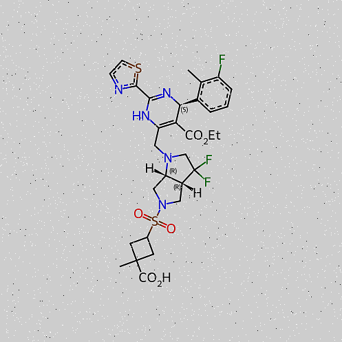 CCOC(=O)C1=C(CN2CC(F)(F)[C@@H]3CN(S(=O)(=O)C4CC(C)(C(=O)O)C4)C[C@@H]32)NC(c2nccs2)=N[C@H]1c1cccc(F)c1C